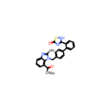 CCCc1nc2cccc(C(=O)OC)c2n1Cc1ccc(-c2ccccc2-c2nc(=O)s[nH]2)cc1